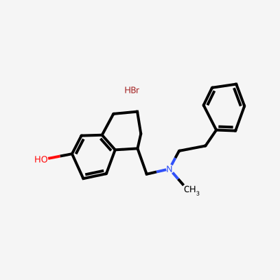 Br.CN(CCc1ccccc1)CC1CCCc2cc(O)ccc21